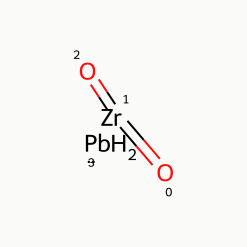 [O]=[Zr]=[O].[PbH2]